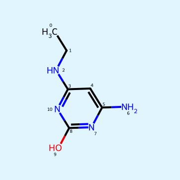 CCNc1cc(N)nc(O)n1